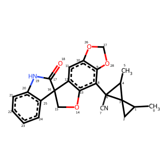 CC1CC12C(C)C2(C#N)c1c2c(cc3c1OCC31C(=O)Nc3ccccc31)OCO2